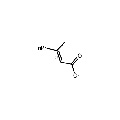 CCC/C(C)=C/C([O])=O